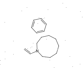 C=CN1CCCCCCCC1.c1ccccc1